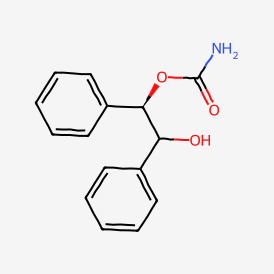 NC(=O)O[C@H](c1ccccc1)C(O)c1ccccc1